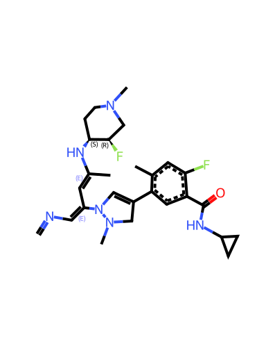 C=N/C=C(\C=C(/C)N[C@H]1CCN(C)C[C@H]1F)N1C=C(c2cc(C(=O)NC3CC3)c(F)cc2C)CN1C